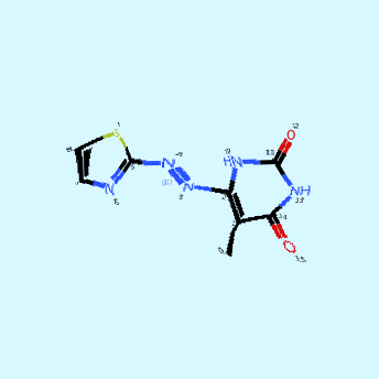 Cc1c(/N=N/c2nccs2)[nH]c(=O)[nH]c1=O